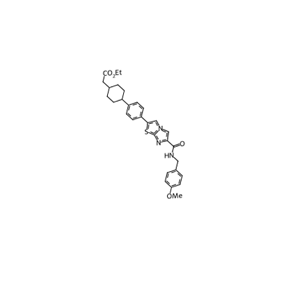 CCOC(=O)CC1CCC(c2ccc(-c3cn4cc(C(=O)NCc5ccc(OC)cc5)nc4s3)cc2)CC1